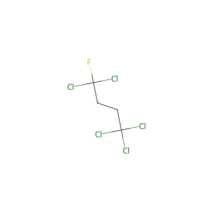 FC(Cl)(Cl)CCC(Cl)(Cl)Cl